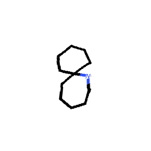 C1CC[N]C2(CC1)CCCCC2